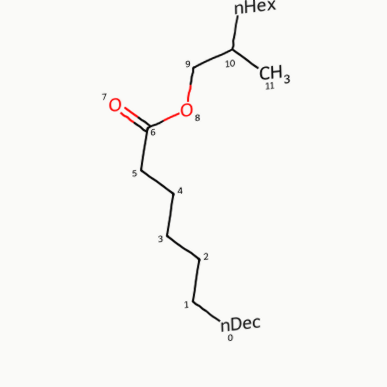 CCCCCCCCCCCCCCCC(=O)OCC(C)CCCCCC